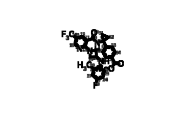 COC(=O)c1ccc(C2(NC(=O)c3cc(C(F)(F)F)cnc3N3CC(Nc4ccc(F)cc4C)C3)CC2)cc1